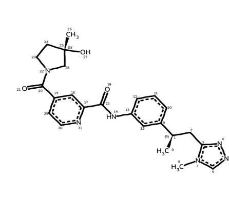 C[C@H](Cc1nncn1C)c1cccc(NC(=O)c2cc(C(=O)N3CC[C@](C)(O)C3)ccn2)c1